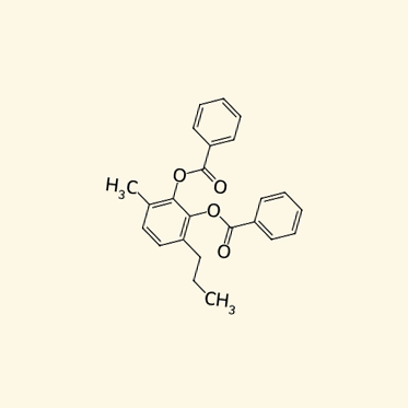 CCCc1ccc(C)c(OC(=O)c2ccccc2)c1OC(=O)c1ccccc1